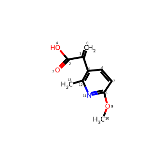 C=C(C(=O)O)c1ccc(OC)nc1C